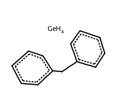 [CH](c1ccccc1)c1ccccc1.[GeH4]